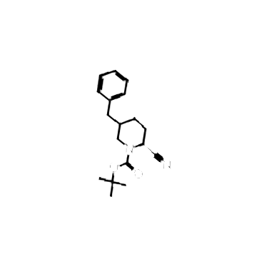 CC(C)(C)OC(=O)N1CC(Cc2ccccc2)CC[C@H]1C#N